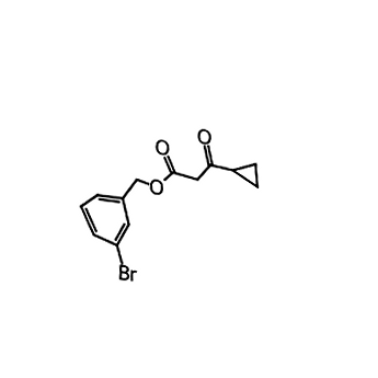 O=C(CC(=O)C1CC1)OCc1cccc(Br)c1